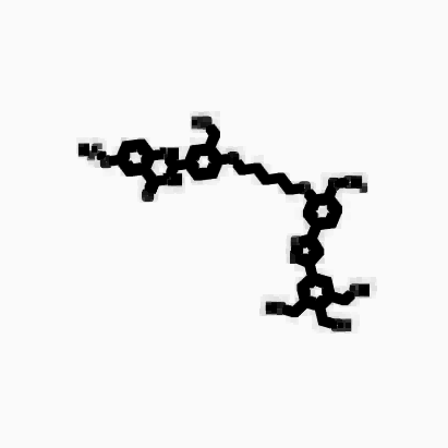 COc1ccc2c(c1)C(=O)NC(c1ccc(OCCCCCOc3cc(-c4cc(-c5cc(CO)c(CO)c(CO)c5)no4)ccc3OC)c(CO)c1)N2